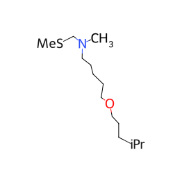 CSCN(C)CCCCCOCCCC(C)C